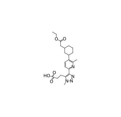 CCOC(=O)CC1CCCC(c2ccc(-c3nnn(C)c3CCS(=O)(=O)O)nc2C)C1